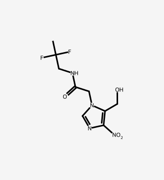 CC(F)(F)CNC(=O)Cn1cnc([N+](=O)[O-])c1CO